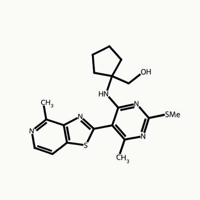 CSc1nc(C)c(-c2nc3c(C)nccc3s2)c(NC2(CO)CCCC2)n1